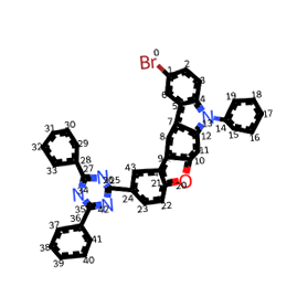 Brc1ccc2c(c1)c1cc3c(cc1n2-c1ccccc1)oc1ccc(-c2nc(-c4ccccc4)nc(-c4ccccc4)n2)cc13